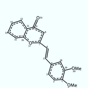 COc1ccc(C=Cc2cc(=O)c3ccccc3o2)cc1OC